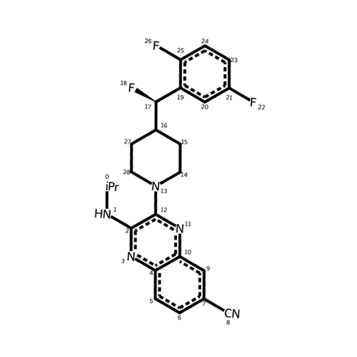 CC(C)Nc1nc2ccc(C#N)cc2nc1N1CCC([C@@H](F)c2cc(F)ccc2F)CC1